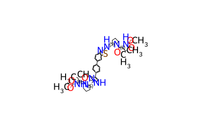 COC(=O)N[C@H](C(=O)N1CCC[C@H]1CNc1nc2ccc(-c3ccc(-c4c[nH]c([C@@H]5CCCN5C(=O)[C@@H](NC(=O)OC)C(C)C)n4)cc3)cc2s1)C(C)C